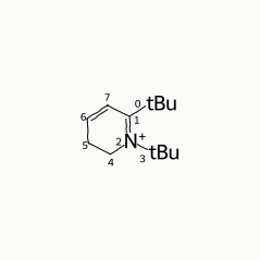 CC(C)(C)C1=[N+](C(C)(C)C)CCC=C1